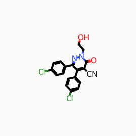 N#Cc1c(-c2ccc(Cl)cc2)c(-c2ccc(Cl)cc2)nn(CCO)c1=O